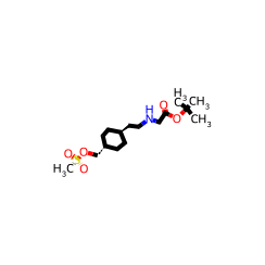 CC(C)(C)OC(=O)CNCC[C@H]1CC[C@H](COS(C)(=O)=O)CC1